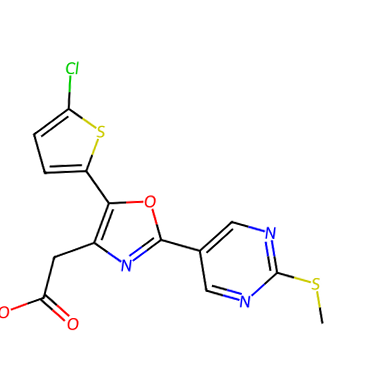 CSc1ncc(-c2nc(CC(=O)O)c(-c3ccc(Cl)s3)o2)cn1